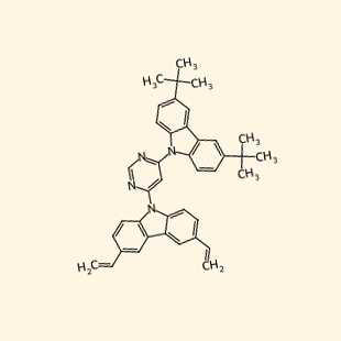 C=Cc1ccc2c(c1)c1cc(C=C)ccc1n2-c1cc(-n2c3ccc(C(C)(C)C)cc3c3cc(C(C)(C)C)ccc32)ncn1